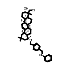 CC1(C)C[C@@H]2C3=CC[C@@H]4[C@@]5(C)CC[C@H](O)C(C)(CO)C5CC[C@@]4(C)[C@]3(C)CC[C@@]2(C)[C@H](OCc2ccc(CNc3ccccc3)cc2)C1